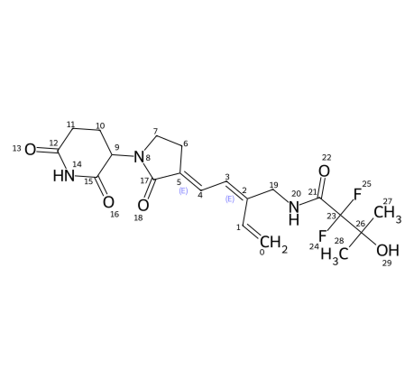 C=C/C(=C\C=C1/CCN(C2CCC(=O)NC2=O)C1=O)CNC(=O)C(F)(F)C(C)(C)O